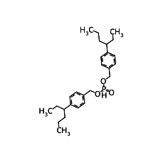 CCCC(CC)c1ccc(CO[PH](=O)OCc2ccc(C(CC)CCC)cc2)cc1